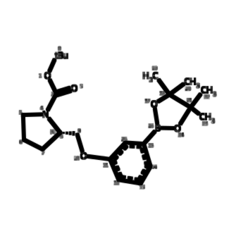 CC(C)(C)OC(=O)N1CCC[C@H]1COc1cccc(B2OC(C)(C)C(C)(C)O2)c1